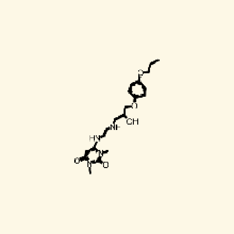 CCCOc1ccc(OCC(O)CNCCNc2cc(=O)n(C)c(=O)n2C)cc1